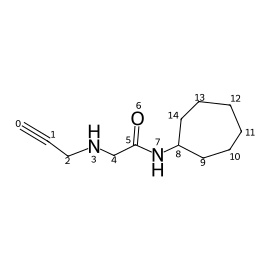 C#CCNCC(=O)NC1CCCCCC1